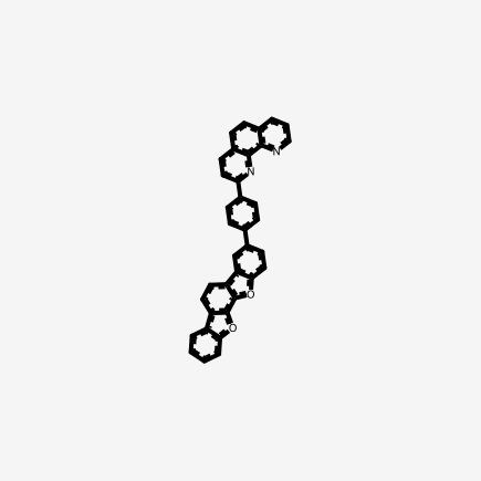 c1cnc2c(c1)ccc1ccc(-c3ccc(-c4ccc5oc6c(ccc7c8ccccc8oc76)c5c4)cc3)nc12